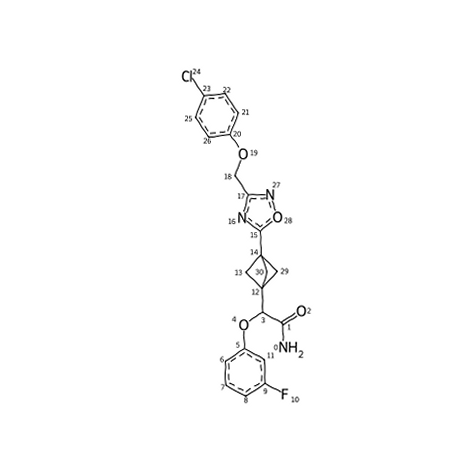 NC(=O)C(Oc1cccc(F)c1)C12CC(c3nc(COc4ccc(Cl)cc4)no3)(C1)C2